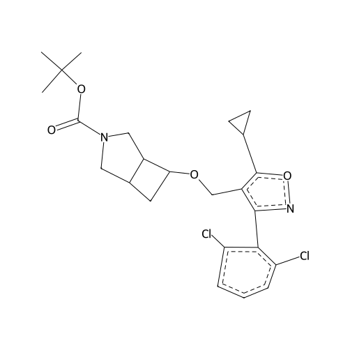 CC(C)(C)OC(=O)N1CC2CC(OCc3c(-c4c(Cl)cccc4Cl)noc3C3CC3)C2C1